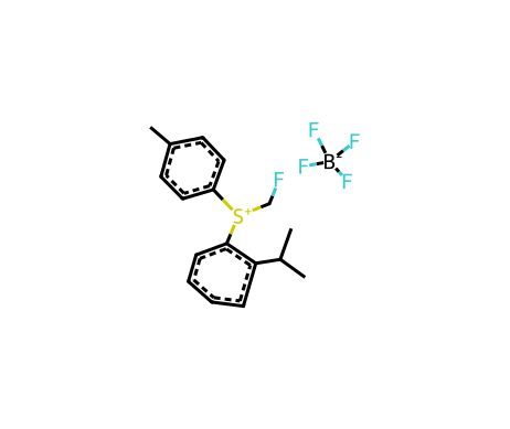 Cc1ccc([S+](CF)c2ccccc2C(C)C)cc1.F[B-](F)(F)F